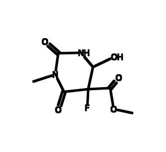 COC(=O)C1(F)C(=O)N(C)C(=O)NC1O